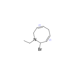 CCN1C/C=C\C/C=C\C1Br